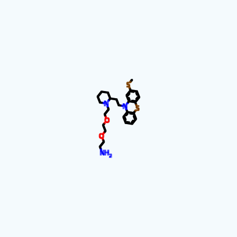 CSc1ccc2c(c1)N(CCC1CCCCN1CCOCCOCCN)c1ccccc1S2